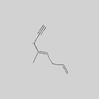 C#C[CH]C(C)=CCC=C